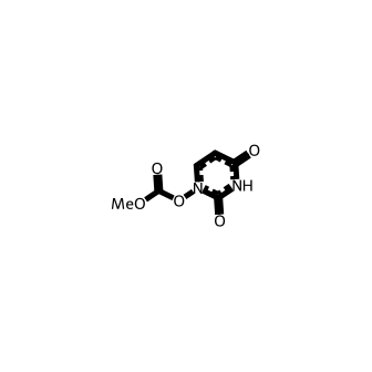 COC(=O)On1ccc(=O)[nH]c1=O